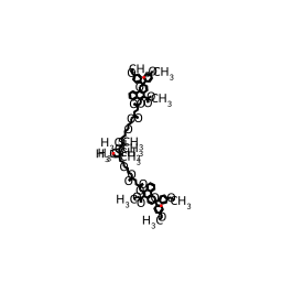 CCC(C)(CCOCCOC(=O)CCC(=O)Oc1c(C(=O)OC)c2c(c3ccccc13)OC(c1ccc(OC)cc1)(c1ccc(OC)cc1)C=C2)[Si](C)(C)OC(C)[Si](C)(C)CCCOCCOC(=O)CCC(=O)Oc1c(C(=O)OC)c2c(c3ccccc13)OC(c1ccc(OC)cc1)(c1ccc(OC)cc1)C=C2